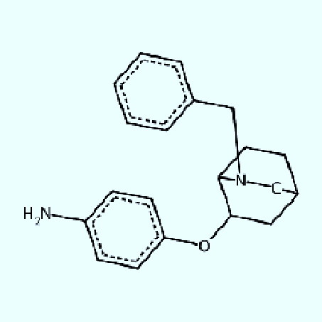 Nc1ccc(OC2CC3CCC2N(Cc2ccccc2)C3)cc1